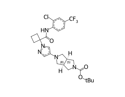 CC(C)(C)OC(=O)N1C[C@@H]2CN(c3cnn(C4(C(=O)Nc5ccc(C(F)(F)F)cc5Cl)CCC4)c3)C[C@@H]2C1